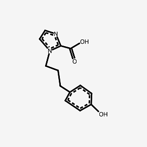 O=C(O)c1nccn1CCCc1ccc(O)cc1